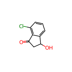 O=C1CC(O)c2cccc(Cl)c21